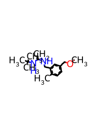 C=C(NCc1cc(COC)ccc1C)NC(C)(C)C